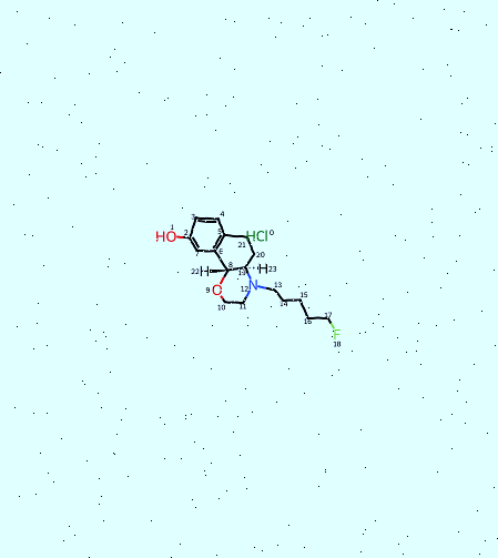 Cl.Oc1ccc2c(c1)[C@H]1OCCN(CCCCCF)[C@@H]1CC2